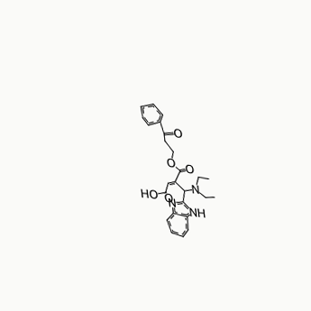 CCN(CC)C(/C(=C\C(=O)O)C(=O)OCCC(=O)c1ccccc1)c1nc2ccccc2[nH]1